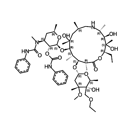 CCOC[C@]1(O)[C@H](C)O[C@@H](O[C@H]2[C@H](C)[C@@H](O[C@@H]3O[C@H](C)C[C@H](N(C)C(=O)Nc4ccccc4)[C@H]3OC(=O)Nc3ccccc3)[C@](C)(O)C[C@@H](C)CN[C@H](C)[C@@H](O)[C@](C)(O)[C@@H](CC)OC(=O)[C@@H]2C)C[C@@]1(C)OC